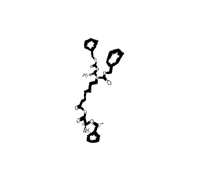 C[C@@H](O[C@@H](N)C(=O)OC(=O)CCCCCCN(C(=O)OCc1ccccc1)C(N)=NC(=O)OCc1ccccc1)c1ccccc1